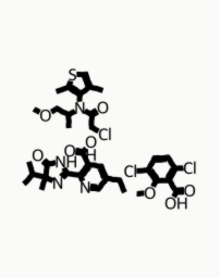 CCc1cnc(C2=NC(C)(C(C)C)C(=O)N2)c(C(=O)O)c1.COCC(C)N(C(=O)CCl)c1c(C)csc1C.COc1c(Cl)ccc(Cl)c1C(=O)O